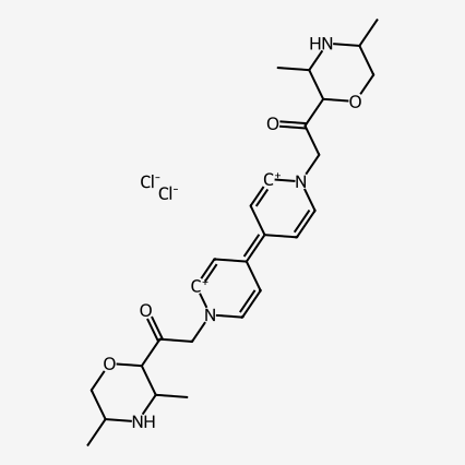 CC1COC(C(=O)CN2[C+]=CC(=C3C=[C+]N(CC(=O)C4OCC(C)NC4C)C=C3)C=C2)C(C)N1.[Cl-].[Cl-]